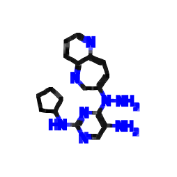 Nc1cnc(NC2CCCC2)nc1N(N)C1=CC=c2ncccc2=NC1